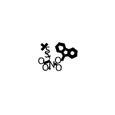 CC(C)(C)SSC[C@H]1C(=O)OCN1C(=O)OCC1c2ccccc2C2C=CC=CC21